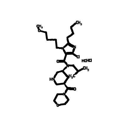 CCCCc1nc(Cl)c(C(=O)N(CC(C)C)[C@@H]2CNC[C@H](C(=O)N3CCOCC3)C2)n1CCCCOC.Cl.Cl